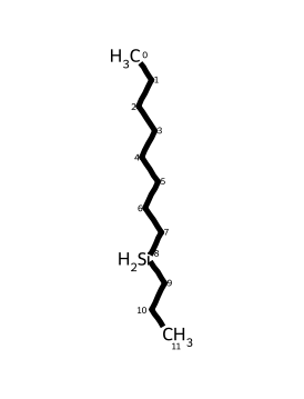 CCCCCCCC[SiH2]CCC